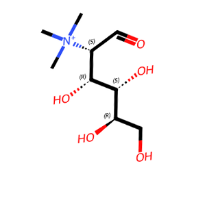 C[N+](C)(C)[C@H](C=O)[C@@H](O)[C@H](O)[C@H](O)CO